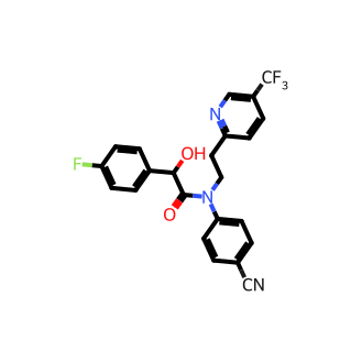 N#Cc1ccc(N(CCc2ccc(C(F)(F)F)cn2)C(=O)C(O)c2ccc(F)cc2)cc1